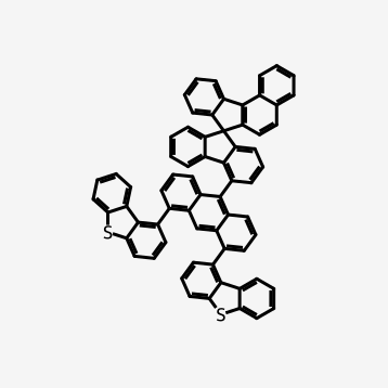 c1ccc2c(c1)-c1c(-c3c4cccc(-c5cccc6sc7ccccc7c56)c4cc4c(-c5cccc6sc7ccccc7c56)cccc34)cccc1C21c2ccccc2-c2c1ccc1ccccc21